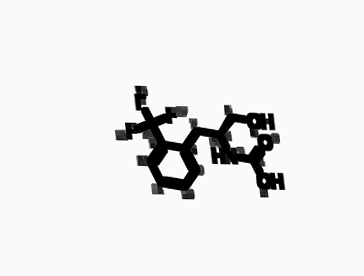 O=C(O)N[C@H](CO)Cc1ccccc1C(F)(F)F